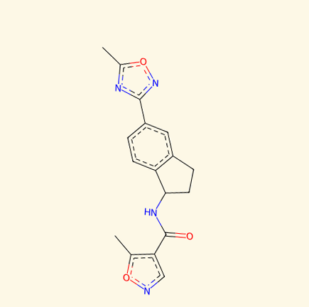 Cc1nc(-c2ccc3c(c2)CCC3NC(=O)c2cnoc2C)no1